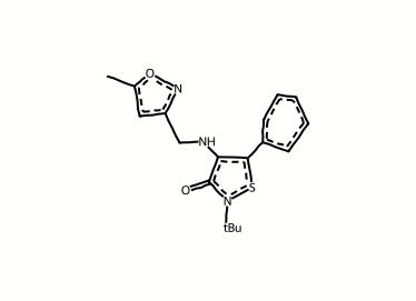 Cc1cc(CNc2c(-c3ccccc3)sn(C(C)(C)C)c2=O)no1